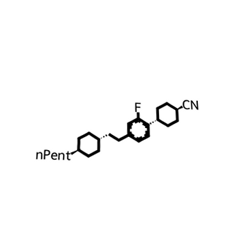 CCCCC[C@H]1CC[C@H](CCc2ccc([C@H]3CC[C@H](C#N)CC3)c(F)c2)CC1